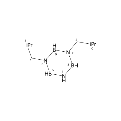 CC(C)CN1BNBN(CC(C)C)B1